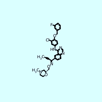 CC#C/C(=N\OC[C@@H]1CN(C)CCO1)c1ccc2ncnc(Nc3ccc(OCc4cccc(F)c4)c(Cl)c3)c2c1